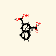 O=C(O)c1cc2cc3ccc2c(C(=O)O)c1CC3